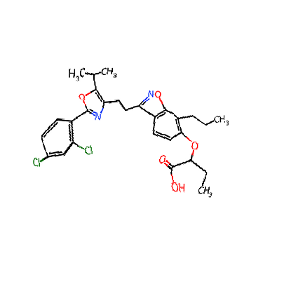 CCCc1c(OC(CC)C(=O)O)ccc2c(CCc3nc(-c4ccc(Cl)cc4Cl)oc3C(C)C)noc12